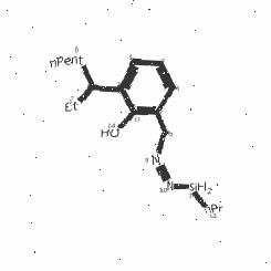 CCCCCC(CC)c1cccc(C/N=N\[SiH2]CCC)c1O